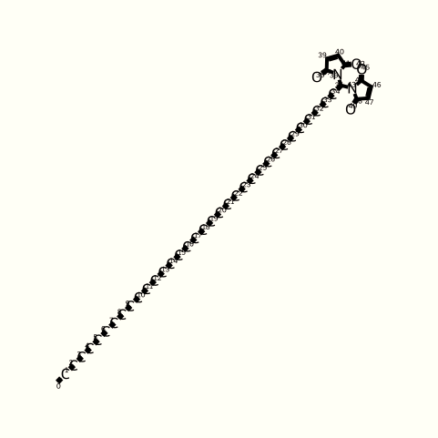 C=C=C=C=C=C=C=C=C=C=C=C=C=C=C=C=C=C=C=C=C=C=C=C=C=C=C=C=C=C=C=C=C=C=C=C(N1C(=O)C=CC1=O)N1C(=O)C=CC1=O